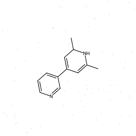 CC1=CC(c2cccnc2)=CC(C)N1